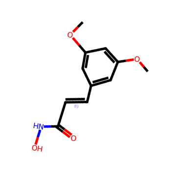 COc1cc(/C=C/C(=O)NO)cc(OC)c1